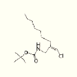 CCCCCCC/C(=C/Cl)CNC(=O)OC(C)(C)C